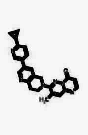 Cc1cc2nccc(=O)n2nc1N1CCc2ncc(-c3ccc(C4CC4)nc3)cc2C1